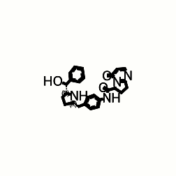 O=C(Nc1ccc(C[C@H]2CC[C@H](C(O)c3ccccc3)N2)cc1)C1CCc2nccc(=O)n21